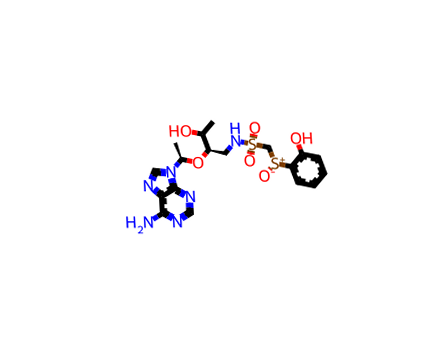 CC(O)[C@@H](CNS(=O)(=O)C[S+]([O-])c1ccccc1O)O[C@H](C)n1cnc2c(N)ncnc21